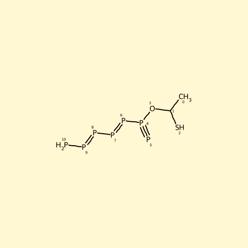 CC(S)OP(#P)P=PP=PP